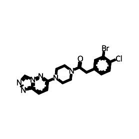 O=C(Cc1ccc(Cl)c(Br)c1)N1CCN(c2ccc3nncn3n2)CC1